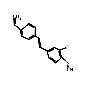 C=Cc1ccc(C=Cc2ccc(SC#N)c(F)c2)cc1